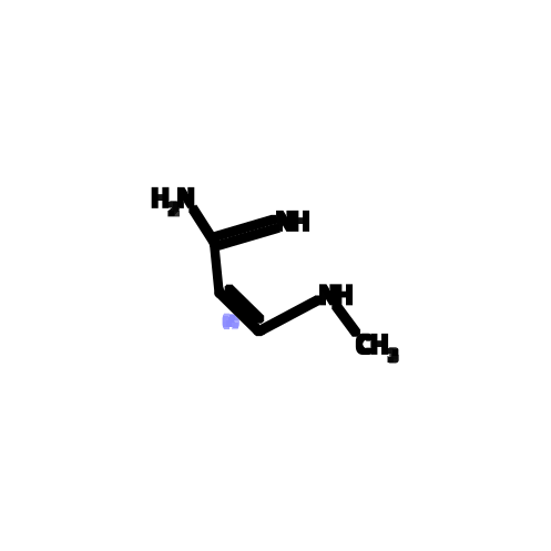 CN/C=C\C(=N)N